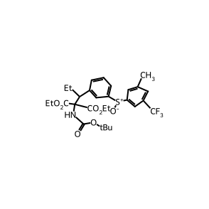 CCOC(=O)C(NC(=O)OC(C)(C)C)(C(=O)OCC)C(CC)c1cccc([S+]([O-])c2cc(C)cc(C(F)(F)F)c2)c1